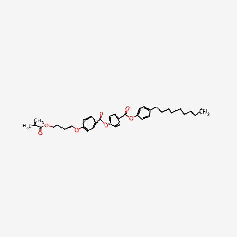 C=C(C)C(=O)OCCCCOc1ccc(C(=O)Oc2ccc(C(=O)Oc3ccc(CCCCCCCCC)cc3)cc2)cc1